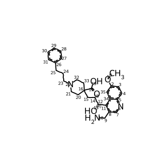 COc1ccc2ncc(CN)c([C@H](O)CCC3(C(=O)O)CCN(CCCc4ccccc4)CC3)c2c1